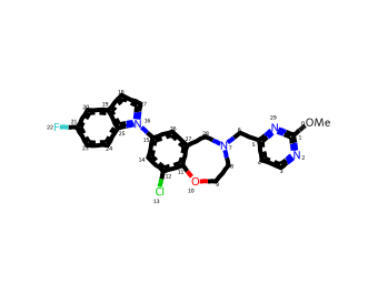 COc1nccc(CN2CCOc3c(Cl)cc(-n4ccc5cc(F)ccc54)cc3C2)n1